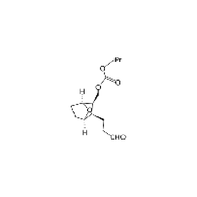 CC(C)OC(=O)OC[C@H]1[C@@H](CCC=O)[C@H]2CC[C@@H]1O2